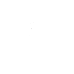 CCCCCN1CC2(CCCCC2)C1